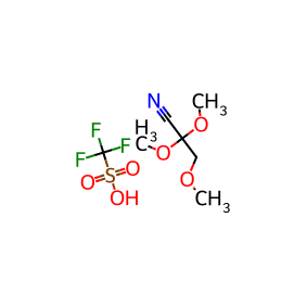 COCC(C#N)(OC)OC.O=S(=O)(O)C(F)(F)F